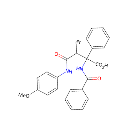 COc1ccc(NC(=O)C(C(C)C)C(NC(=O)c2ccccc2)(C(=O)O)c2ccccc2)cc1